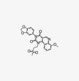 COc1cccc2c1ncc1c(=O)n(-c3ccc4c(c3)OCO4)c(=O)n(CCS(C)(=O)=O)c12